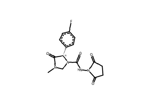 CN1CN(C(=O)NN2C(=O)CCC2=O)[C@@H](c2ccc(F)cc2)C1=O